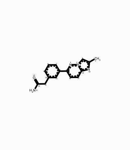 Cc1cn2nc(-c3cccc(CC(N)=O)c3)ccc2n1